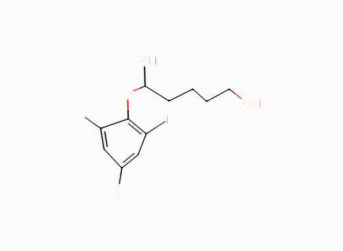 CC(CCCCO)Oc1c(I)cc(I)cc1I